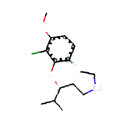 COc1ccc(F)c(O[C@H](C(C)C)[C@@H]2CCNC2)c1Cl